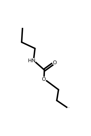 [CH2]CCOC(=O)NCCC